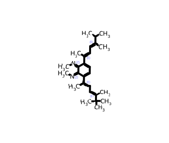 C/N=C1/C(/C(C)=C/C=C(\C)C(C)C)=CC=C(/C(C)=C/C=C(\C)C(C)(C)C)/C1=N/C